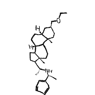 CCOC[C@H]1CC[C@]2(C)C3CC[C@@]4(C)C(CCC4[C@@H](C)N[C@@H](C)c4ccccc4)[C@@H]3CC[C@@H]2C1